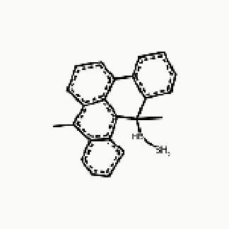 BBC1(C)c2ccccc2-c2cccc3c(C)c4ccccc4c1c23